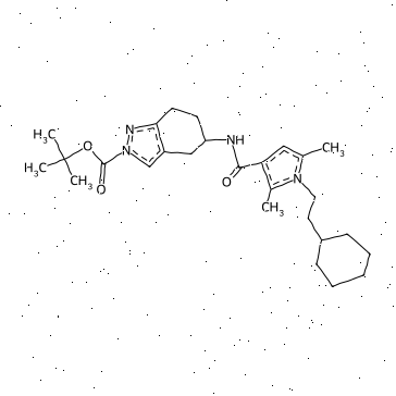 Cc1cc(C(=O)NC2CCc3nn(C(=O)OC(C)(C)C)cc3C2)c(C)n1CCC1CCCCC1